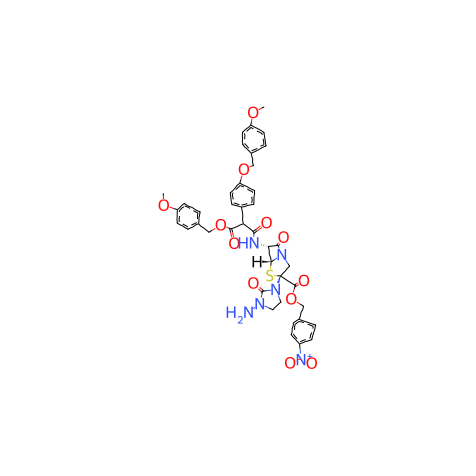 COc1ccc(COC(=O)C(C(=O)N[C@@H]2C(=O)N3C[C@@](C(=O)OCc4ccc([N+](=O)[O-])cc4)(N4CCN(N)C4=O)S[C@H]23)c2ccc(OCc3ccc(OC)cc3)cc2)cc1